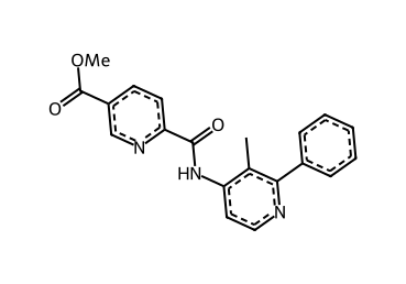 COC(=O)c1ccc(C(=O)Nc2ccnc(-c3ccccc3)c2C)nc1